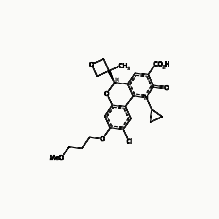 COCCCOc1cc2c(cc1Cl)-c1c(cc(C(=O)O)c(=O)n1C1CC1)[C@H](C1(C)COC1)O2